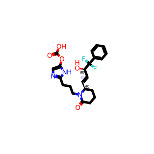 O=C(O)Oc1cnc(CCCN2C(=O)CCC[C@@H]2/C=C/[C@@H](O)C(F)(F)c2ccccc2)[nH]1